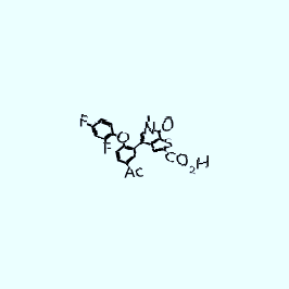 CC(=O)c1ccc(Oc2ccc(F)cc2F)c(-c2cn(C)c(=O)c3sc(C(=O)O)cc23)c1